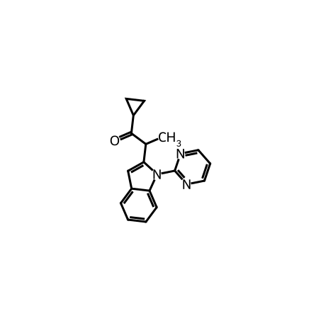 CC(C(=O)C1CC1)c1cc2ccccc2n1-c1ncccn1